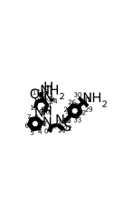 C=C(Nc1ccccc1N1CCC(NC)(C(N)=O)CC1)c1csc(-c2ccc(C(C)(C)N)cc2)n1